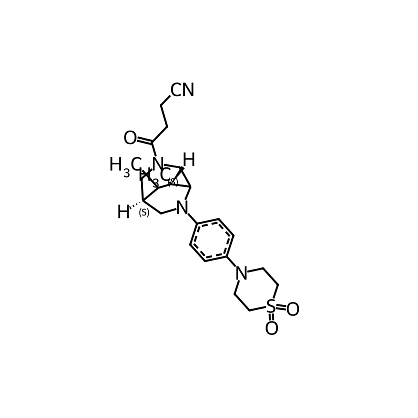 CC1[C@@H]2CN(C(=O)CCC#N)CC([C@H]1C)N(c1ccc(N3CCS(=O)(=O)CC3)cc1)C2